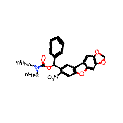 CCCCCCN(CCCCCC)C(=O)OC(c1ccccc1)c1cc2c(cc1[N+](=O)[O-])oc1cc3c(cc12)OCO3